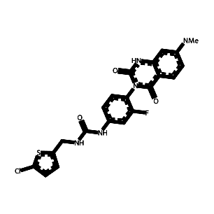 CNc1ccc2c(=O)n(-c3ccc(NC(=O)NCc4ccc(Cl)s4)cc3F)c(=O)[nH]c2c1